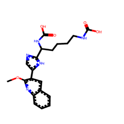 COc1nc2ccccc2cc1-c1cnc(C(CCCCNC(=O)O)NC(=O)O)[nH]1